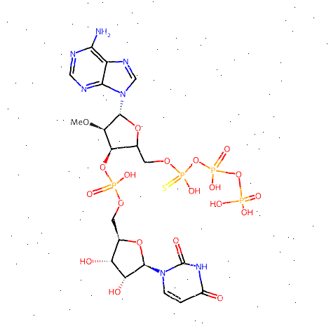 CO[C@@H]1[C@H](OP(=O)(O)OC[C@H]2O[C@@H](n3ccc(=O)[nH]c3=O)[C@H](O)[C@@H]2O)C(COP(O)(=S)OP(=O)(O)OP(=O)(O)O)O[C@H]1n1cnc2c(N)ncnc21